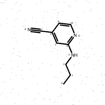 CCCNc1cc(C#N)ccn1